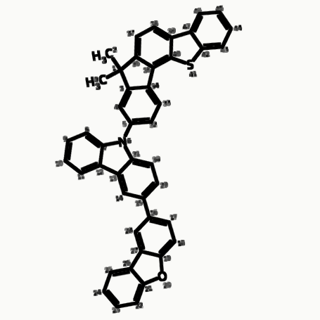 CC1(C)c2cc(-n3c4ccccc4c4cc(-c5ccc6oc7ccccc7c6c5)ccc43)ccc2-c2c1ccc1c2sc2ccccc21